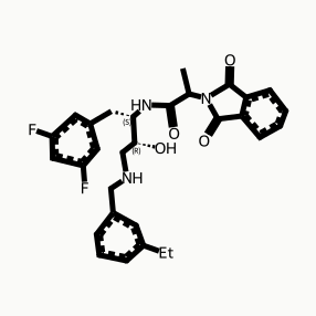 CCc1cccc(CNC[C@@H](O)[C@H](Cc2cc(F)cc(F)c2)NC(=O)C(C)N2C(=O)c3ccccc3C2=O)c1